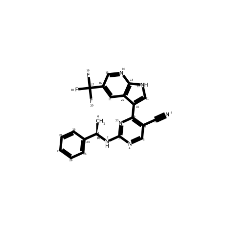 C[C@@H](Nc1ncc(C#N)c(-c2c[nH]c3ncc(C(F)(F)F)cc23)n1)c1ccccc1